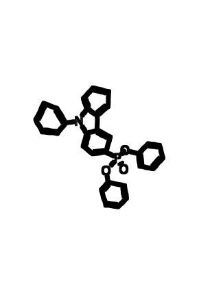 O=P(Oc1ccccc1)(Oc1ccccc1)c1ccc2c(c1)c1ccccc1n2-c1ccccc1